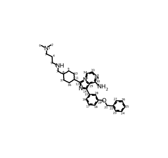 CN(C)CCCNCC1CCC(c2nc(-c3cccc(OCc4ccccc4)c3)c3c(N)nccn23)CC1